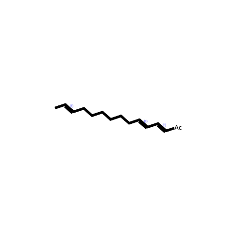 C/C=C/CCCCCC/C=C/C=C/C(C)=O